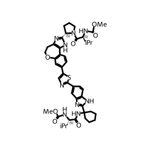 COC(=O)N[C@H](C(=O)NC1(c2nc3cc(-c4ncc(-c5ccc6c(c5)OCCc5nc([C@@H]7CCCN7C(=O)[C@@H](NC(=O)OC)C(C)C)[nH]c5-6)s4)ccc3[nH]2)CCCCC1)C(C)C